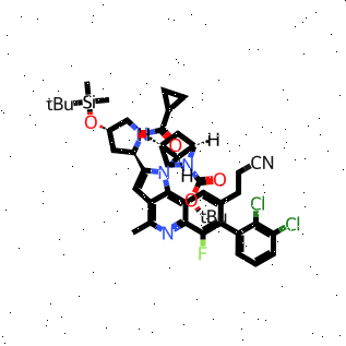 Cc1nc2c(F)c(-c3cccc(Cl)c3Cl)c(CCC#N)cc2c2c1cc([C@H]1C[C@H](O[Si](C)(C)C(C)(C)C)CN1C(=O)C1CC1)n2[C@H]1[C@@H]2C[C@H]1N(C(=O)OC(C)(C)C)C2